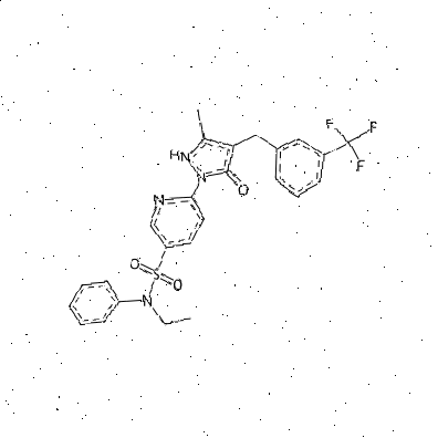 CCN(c1ccccc1)S(=O)(=O)c1ccc(-n2[nH]c(C)c(Cc3cccc(C(F)(F)F)c3)c2=O)nc1